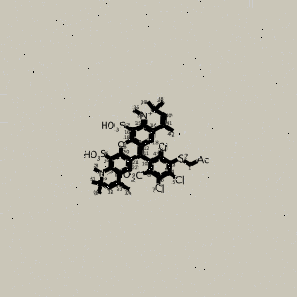 CC(=O)CSc1c(Cl)c(Cl)c(C(=O)O)c(C2=c3cc4c(c(S(=O)(=O)O)c3Oc3c2cc2c(c3S(=O)(=O)O)N(C)C(C)(C)C=C2C)=[N+](C)C(C)(C)C=C4C)c1Cl